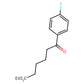 CCOC(=O)CCCCC(=O)c1ccc(F)cc1